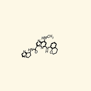 CNc1cc(Nc2cccc3c2OCCC3)nn2c(C(=O)NC3CCn4ccnc43)cnc12